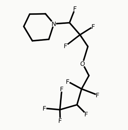 FC(N1CCCCC1)C(F)(F)COCC(F)(F)C(F)C(F)(F)F